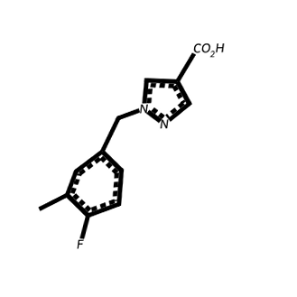 Cc1cc(Cn2cc(C(=O)O)cn2)ccc1F